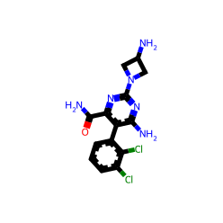 NC(=O)c1nc(N2CC(N)C2)nc(N)c1-c1cccc(Cl)c1Cl